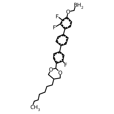 BCOc1ccc(-c2ccc(-c3ccc(C4OCC(CCCCCCC)CO4)c(F)c3)cc2)c(F)c1F